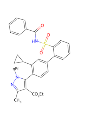 CCCn1nc(C)c(C(=O)OCC)c1-c1ccc(-c2ccccc2S(=O)(=O)NC(=O)c2ccccc2)cc1C1CC1